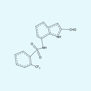 O=Cc1cc2cccc(NS(=O)(=O)c3ccccc3C(F)(F)F)c2[nH]1